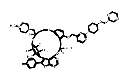 Cc1c(Cl)c2c(Cl)c(C)c1-c1c(-c3ccc(F)cc3)sc3ncnc(c13)O[C@@H](C(=O)O)Cc1cc(ccc1OCc1ccnc([C@H]3CC[C@H](OC[C@H]4COCCO4)CC3)n1)OCC[C@@H](CN1CCN(C)CC1)O2